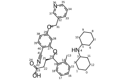 C1CCC(NC2CCCCC2)CC1.Cc1ccccc1[C@@H](CCC(=O)O)Oc1cc(OCc2cccnc2)ccc1C#N